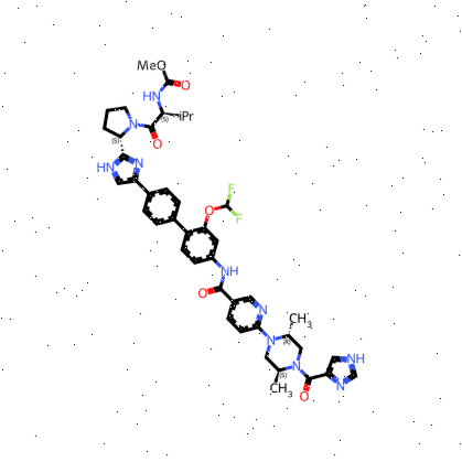 COC(=O)N[C@H](C(=O)N1CCC[C@H]1c1nc(-c2ccc(-c3ccc(NC(=O)c4ccc(N5C[C@H](C)N(C(=O)c6c[nH]cn6)C[C@H]5C)nc4)cc3OC(F)F)cc2)c[nH]1)C(C)C